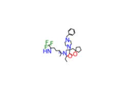 CCC(=O)N(CC1(N2CCN(Cc3ccccc3)CC2)CCOC2(CCCC2)C1)/C(C)=C/CCC(=N)C(F)(F)F